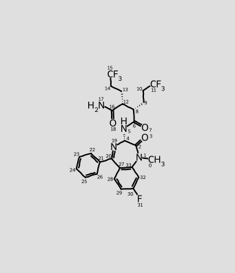 CN1C(=O)[C@@H](NC(=O)[C@@H](CCC(F)(F)F)[C@@H](CCC(F)(F)F)C(N)=O)N=C(c2ccccc2)c2ccc(F)cc21